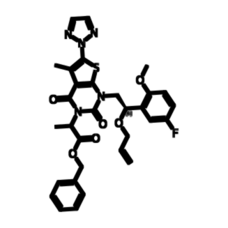 C=CCO[C@@H](Cn1c(=O)n(C(C)C(=O)OCc2ccccc2)c(=O)c2c(C)c(-n3nccn3)sc21)c1cc(F)ccc1OC